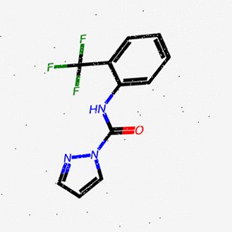 O=C(Nc1ccccc1C(F)(F)F)n1cc[c]n1